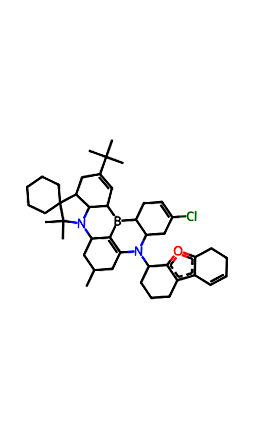 CC1CC2=C3B(C4C=C(C(C)(C)C)CC5C4N(C3C1)C(C)(C)C51CCCCC1)C1CC=C(Cl)CC1N2C1CCCc2c1oc1c2C=CCC1